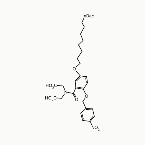 CCCCCCCCCCCCCCCCCCOc1ccc(OCc2ccc([N+](=O)[O-])cc2)c(C(=O)N(CC(=O)O)CC(=O)O)c1